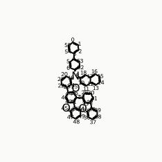 c1ccc(-c2ccc(N(c3ccc4ccccc4c3)c3cccc4c3oc3c(-c5cccc6c5oc5ccccc56)c5c(cc34)oc3ccccc35)cc2)cc1